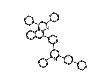 c1ccc(-c2ccc(-c3cc(-c4cccc(-c5cc6ccccc6c6c(-c7ccccc7)cc(-c7ccccc7)nc56)c4)cc(-c4ccccc4)n3)cc2)cc1